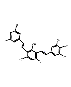 Oc1cc(O)cc(/C=C/c2c(O)cc(O)c(/C=C/c3cc(O)c(O)c(O)c3)c2O)c1